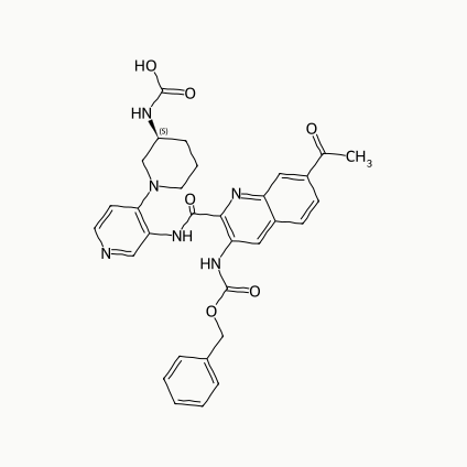 CC(=O)c1ccc2cc(NC(=O)OCc3ccccc3)c(C(=O)Nc3cnccc3N3CCC[C@H](NC(=O)O)C3)nc2c1